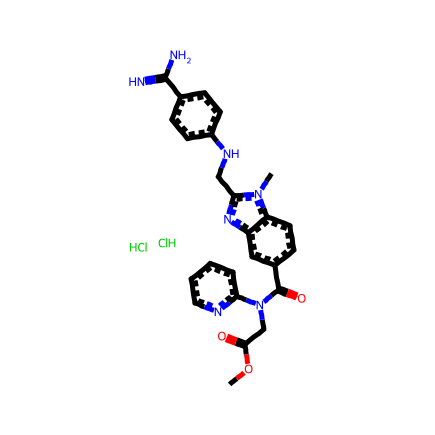 COC(=O)CN(C(=O)c1ccc2c(c1)nc(CNc1ccc(C(=N)N)cc1)n2C)c1ccccn1.Cl.Cl